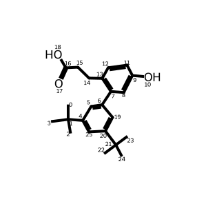 CC(C)(C)c1cc(-c2cc(O)ccc2CCC(=O)O)cc(C(C)(C)C)c1